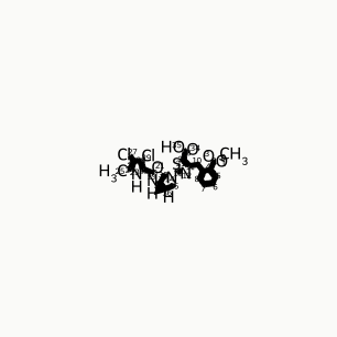 COC(=O)c1ccccc1Cc1nc(N2C[C@@H]3C[C@]3(NC(=O)c3[nH]c(C)c(Cl)c3Cl)C2)sc1C(=O)O